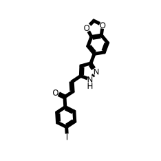 O=C(/C=C/c1cc(-c2ccc3c(c2)OCO3)n[nH]1)c1ccc(I)cc1